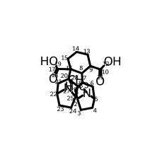 CN1C2CCC1CC(C1C(C(=O)O)CCCC1(C(=O)O)C1CC3CCC(C1)N3C)C2